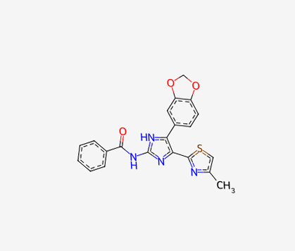 Cc1csc(-c2nc(NC(=O)c3ccccc3)[nH]c2-c2ccc3c(c2)OCO3)n1